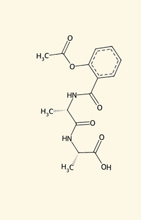 CC(=O)Oc1ccccc1C(=O)N[C@@H](C)C(=O)N[C@@H](C)C(=O)O